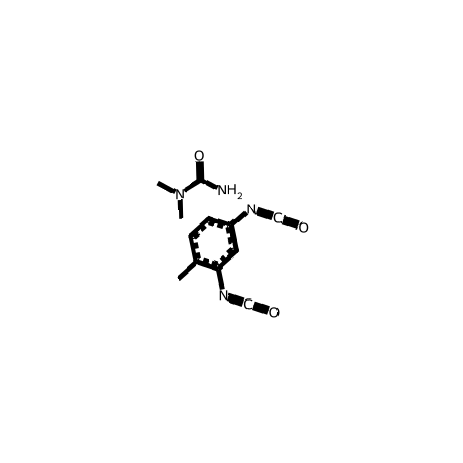 CN(C)C(N)=O.Cc1ccc(N=C=O)cc1N=C=O